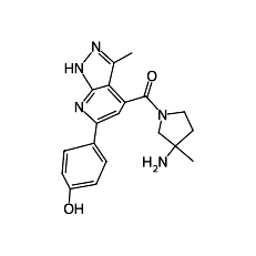 Cc1n[nH]c2nc(-c3ccc(O)cc3)cc(C(=O)N3CCC(C)(N)C3)c12